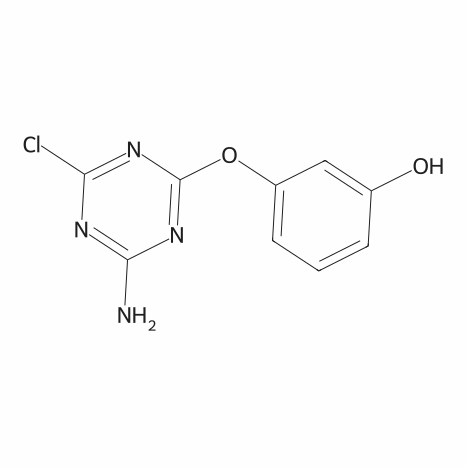 Nc1nc(Cl)nc(Oc2cccc(O)c2)n1